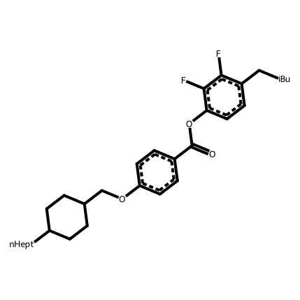 CCCCCCCC1CCC(COc2ccc(C(=O)Oc3ccc(CC(C)CC)c(F)c3F)cc2)CC1